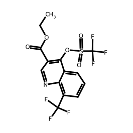 CCOC(=O)c1cnc2c(C(F)(F)F)cccc2c1OS(=O)(=O)C(F)(F)F